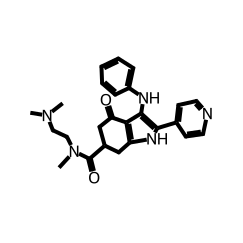 CN(C)CCN(C)C(=O)C1CC(=O)c2c([nH]c(-c3ccncc3)c2Nc2ccccc2)C1